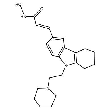 O=C(/C=C/c1ccc2c(c1)c1c(n2CCN2CCCCC2)CCCC1)NO